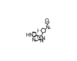 CN(C1COC1)[C@@H]1CC(c2nnc3cnc4[nH]ccc4n23)[C@H](I)C1